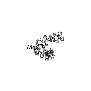 COc1cccc2c(C(=O)NCc3ccc(Cl)c(Cl)c3)cn(CCCN3[C@@H]4CC[C@H]3C[C@@H](CC(=O)c3ccccn3)C4)c12